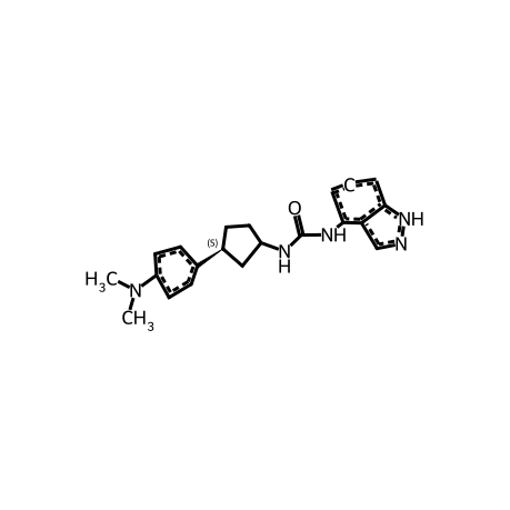 CN(C)c1ccc([C@H]2CCC(NC(=O)Nc3cccc4[nH]ncc34)C2)cc1